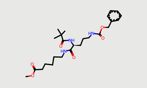 COC(=O)CCCCCNC(=O)[C@H](CCCNC(=O)OCc1ccccc1)NC(=O)C(C)(C)C